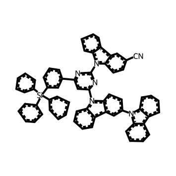 N#Cc1ccc2c(c1)c1ccccc1n2-c1nc(-c2cccc([Si](c3ccccc3)(c3ccccc3)c3ccccc3)c2)cc(-n2c3ccccc3c3cc(-n4c5ccccc5c5ccccc54)ccc32)n1